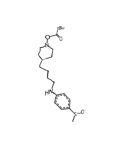 C[S+]([O-])c1ccc(NCCCCC2CCN(OC(=O)C(C)(C)C)CC2)cc1